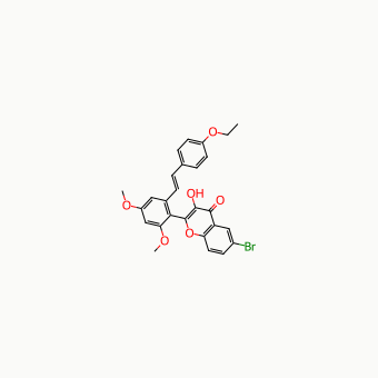 CCOc1ccc(C=Cc2cc(OC)cc(OC)c2-c2oc3ccc(Br)cc3c(=O)c2O)cc1